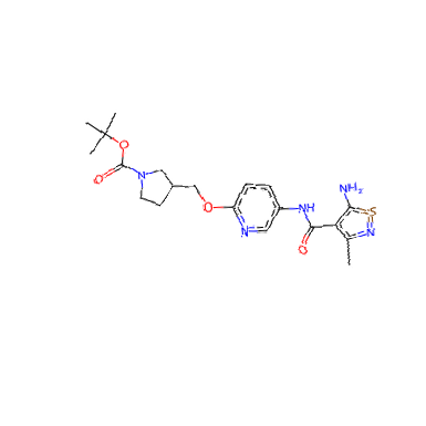 Cc1nsc(N)c1C(=O)Nc1ccc(OCC2CCN(C(=O)OC(C)(C)C)C2)nc1